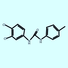 Cc1ccc(NC(=O)Nc2ccc(Cl)c(Cl)c2)cc1